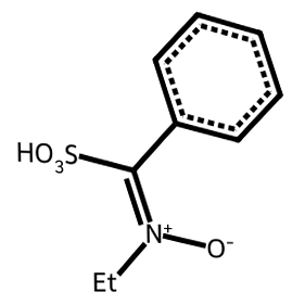 CC[N+]([O-])=C(c1ccccc1)S(=O)(=O)O